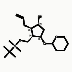 C=CC[C@@H]1[C@@H](CO[Si](C)(C)C(C)(C)C)[C@H](OC2CCCCO2)C[C@H]1O